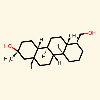 C[C@@]1(O)CC[C@H]2[C@H](CC[C@@H]3[C@@H]2CC[C@]2(C)[C@@H](CO)CCC[C@@H]32)C1